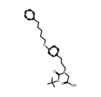 CC(C)(C)OC(=O)N(CCCc1ccc(OCCCCCc2ccccc2)cc1)CC(=O)O